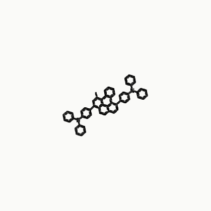 Cc1cc(-c2ccc(B(c3ccccc3)c3ccccc3)cc2)c2ccc3ccc(-c4ccc(N(c5ccccc5)c5ccccc5)cc4)c4c5ccccc5c1c2c34